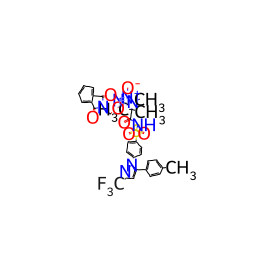 Cc1ccc(-c2cc(C(F)(F)F)nn2-c2ccc(S(=O)(=O)NC(=O)C(C)(C)N(C)/[N+]([O-])=N\OCN3C(=O)c4ccccc4C3=O)cc2)cc1